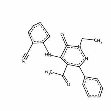 CCn1nc(-c2ccccc2)c(C(C)=O)c(Nc2ccccc2C#N)c1=O